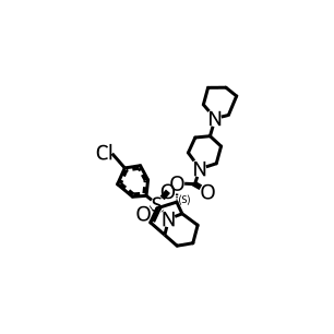 O=C(O[C@H]1C=CC2CCCC1N2S(=O)(=O)c1ccc(Cl)cc1)N1CCC(N2CCCCC2)CC1